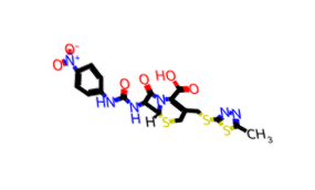 Cc1nnc(SCC2=C(C(=O)O)N3C(=O)C(NC(=O)Nc4ccc([N+](=O)[O-])cc4)[C@H]3SC2)s1